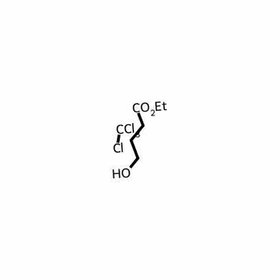 CCOC(=O)CCCO.ClC(Cl)(Cl)Cl